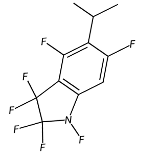 CC(C)c1c(F)cc2c(c1F)C(F)(F)C(F)(F)N2F